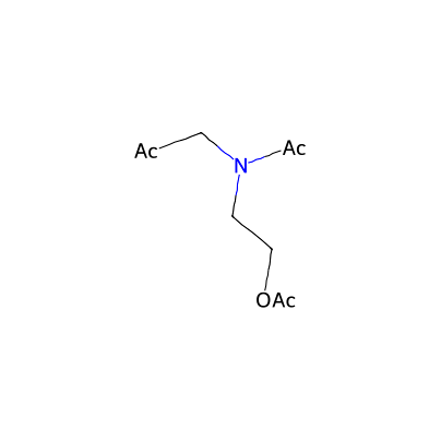 CC(=O)CN(CCOC(C)=O)C(C)=O